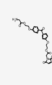 NCC(=O)OCCOc1ccc(C(=O)c2ccc(OCCOC(=O)CN3C(=O)C=CC3=O)cc2)cc1